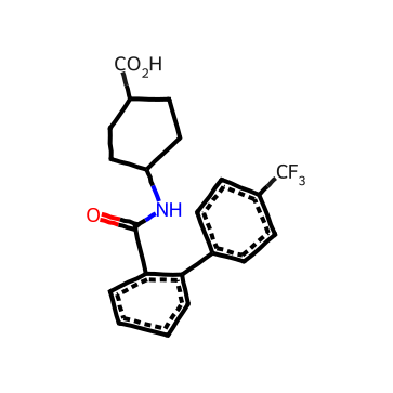 O=C(NC1CCC(C(=O)O)CC1)c1ccccc1-c1ccc(C(F)(F)F)cc1